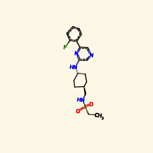 CCS(=O)(=O)NC[C@H]1CC[C@H](Nc2cncc(-c3ccccc3F)n2)CC1